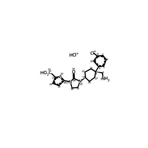 Cl.NC[C@]1(c2cccc(Cl)c2)CC[C@H](N2CCN(c3ccc(C(=O)O)s3)C2=O)CC1